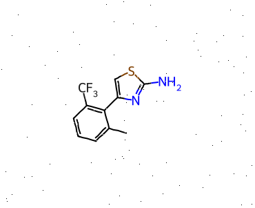 Cc1cccc(C(F)(F)F)c1-c1csc(N)n1